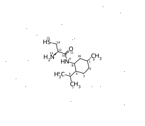 CC1CCC(C(C)C)C(NC(=O)[C@@H](N)CS)C1